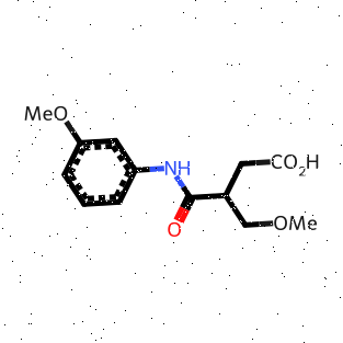 COCC(CC(=O)O)C(=O)Nc1cccc(OC)c1